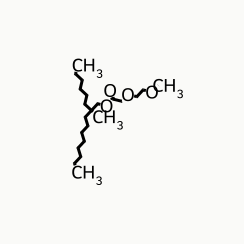 CCCCCCCCC(C)(CCCCCC)COC(=O)COCCOC